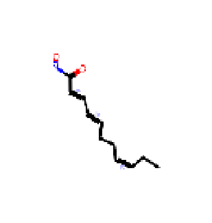 CC/C=C\CC/C=C/C=C/C(=O)N=O